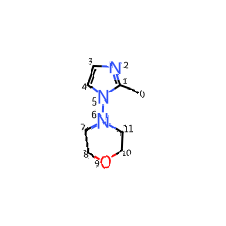 Cc1nccn1N1CCOCC1